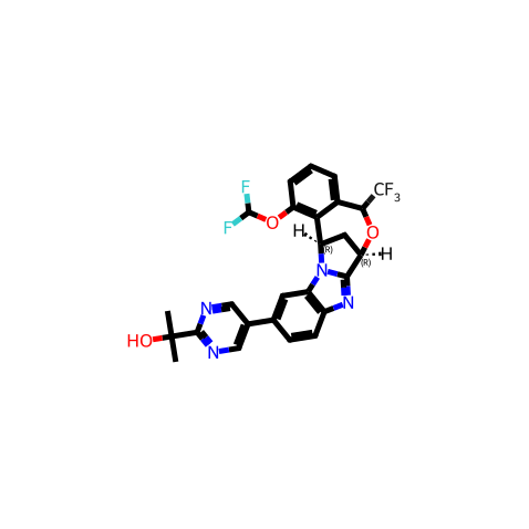 CC(C)(O)c1ncc(-c2ccc3nc4n(c3c2)[C@@H]2C[C@H]4OC(C(F)(F)F)c3cccc(OC(F)F)c32)cn1